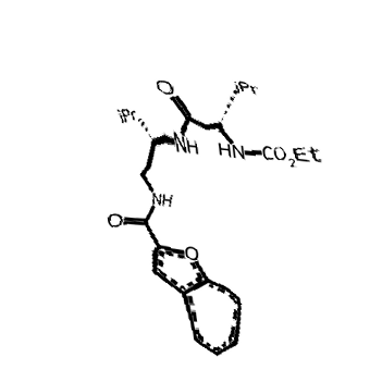 CCOC(=O)N[C@H](C(=O)N[C@H](CNC(=O)c1cc2ccccc2o1)C(C)C)C(C)C